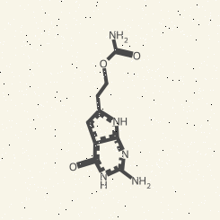 NC(=O)OCCc1cc2c(=O)[nH]c(N)nc2[nH]1